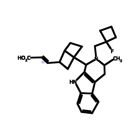 CC1Cc2c([nH]c3ccccc23)C(C23CCC2C(/C=C/C(=O)O)C3)N1CC1(F)CCC1